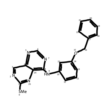 CSc1ncc2ncnc(Nc3cccc(OCc4ccccc4)c3)c2n1